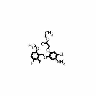 CCOC(=O)COc1cc(Cl)c(N)cc1OCc1c(OC)ccc(F)c1F